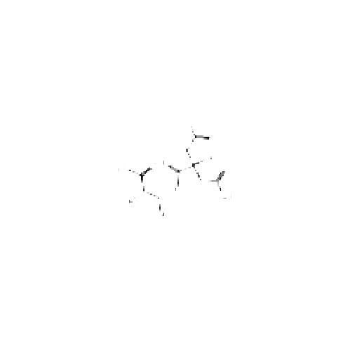 N[C@@H](CS)C(=O)O.O.O=C(O)CC(O)(CC(=O)O)C(=O)O